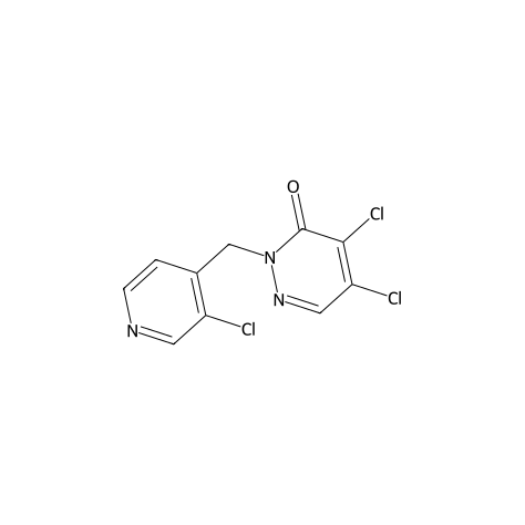 O=c1c(Cl)c(Cl)cnn1Cc1ccncc1Cl